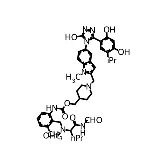 CCCC(C(=O)NC=O)N(C=O)Cc1c(C)cccc1NC(=O)OCC1CCN(Cc2cc3cc(-n4c(O)nnc4-c4cc(C(C)C)c(O)cc4O)ccc3n2C)CC1